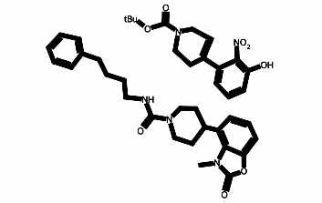 CC(C)(C)OC(=O)N1CC=C(c2cccc(O)c2[N+](=O)[O-])CC1.Cn1c(=O)oc2cccc(C3CCN(C(=O)NCCCCc4ccccc4)CC3)c21